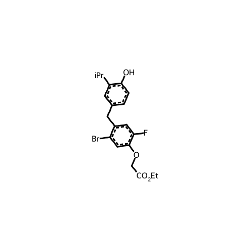 CCOC(=O)COc1cc(Br)c(Cc2ccc(O)c(C(C)C)c2)cc1F